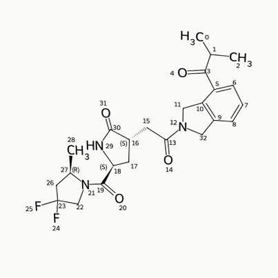 CC(C)C(=O)c1cccc2c1CN(C(=O)C[C@@H]1C[C@@H](C(=O)N3CC(F)(F)C[C@H]3C)NC1=O)C2